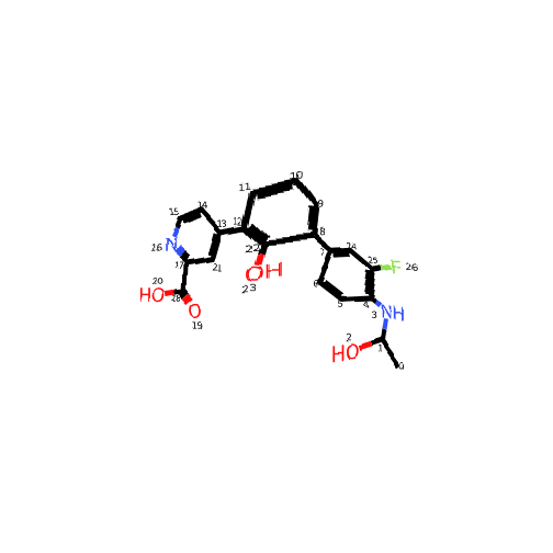 CC(O)Nc1ccc(-c2cccc(-c3ccnc(C(=O)O)c3)c2O)cc1F